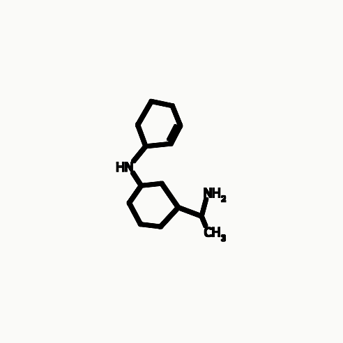 CC(N)C1CCCC(NC2C=CCCC2)C1